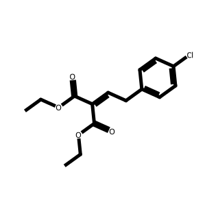 CCOC(=O)C(=CCc1ccc(Cl)cc1)C(=O)OCC